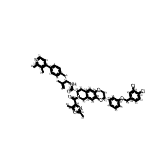 C=C(C)[C@H](Cc1ccc(-c2ccnc(C)c2C)cc1)NC(=O)[C@@H]1Cc2cc3c(cc2CN1C(=O)c1nc(C)oc1C)O[C@@H](c1cccc(OCc2ccc(Cl)c(Cl)c2)c1)CO3